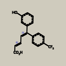 O=C(O)/C=C/C=C(\c1ccc(C(F)(F)F)cc1)c1cccc(O)c1